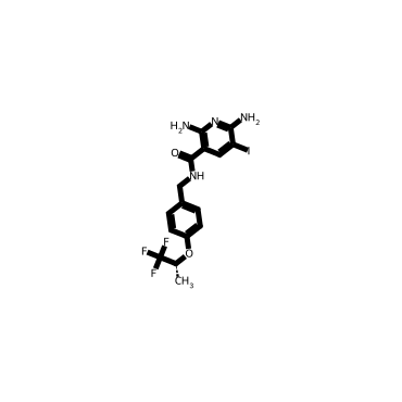 C[C@@H](Oc1ccc(CNC(=O)c2cc(I)c(N)nc2N)cc1)C(F)(F)F